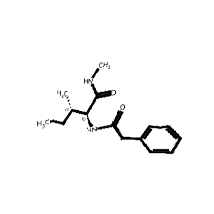 CC[C@H](C)[C@H](NC(=O)Cc1ccccc1)C(=O)NC